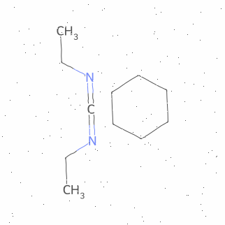 C1CCCCC1.CCN=C=NCC